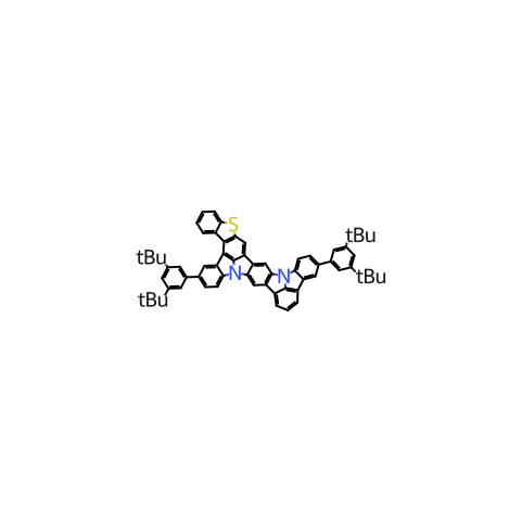 CC(C)(C)c1cc(-c2ccc3c(c2)c2cccc4c5cc6c(cc5n3c24)c2cc3sc4ccccc4c3c3c4cc(-c5cc(C(C)(C)C)cc(C(C)(C)C)c5)ccc4n6c23)cc(C(C)(C)C)c1